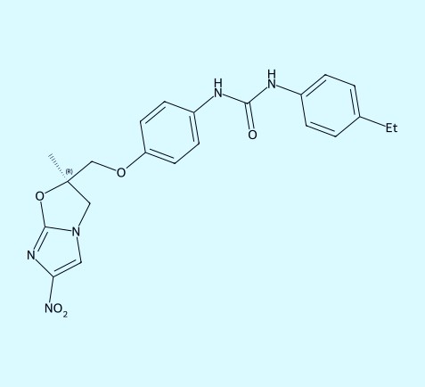 CCc1ccc(NC(=O)Nc2ccc(OC[C@@]3(C)Cn4cc([N+](=O)[O-])nc4O3)cc2)cc1